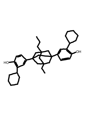 CCCC12CC3(CC)CC(c4ccc(O)c(C5CCCCC5)c4)(C1)CC(c1ccc(O)c(C4CCCCC4)c1)(C3)C2